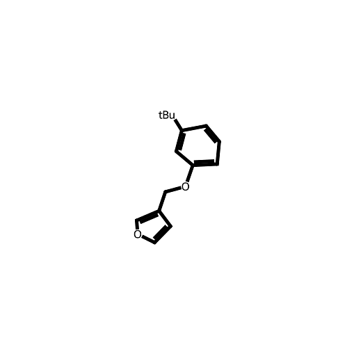 CC(C)(C)c1cccc(OCc2ccoc2)c1